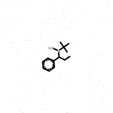 CCC(c1ccccc1)N(N)C(C)(C)C